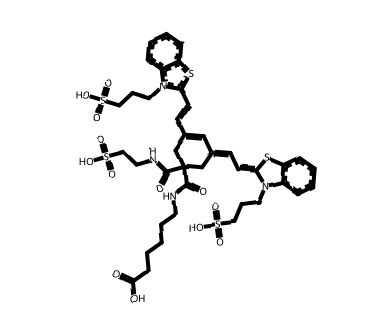 O=C(O)CCCCCNC(=O)C1(C(=O)NCCS(=O)(=O)O)CC(/C=C/c2sc3ccccc3[n+]2CCCS(=O)(=O)O)=CC(=C/C=C2\Sc3ccccc3N2CCCS(=O)(=O)O)/C1